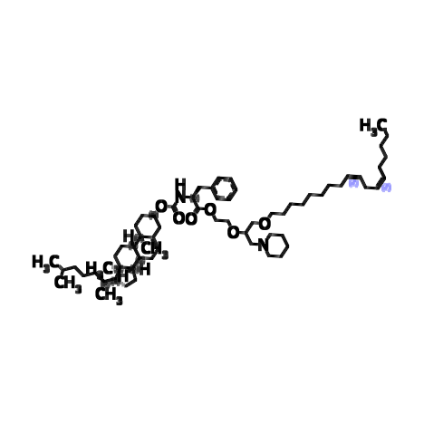 CCCCC/C=C\C/C=C\CCCCCCCCOCC(CN1CCCCC1)OCCOC(=O)[C@H](Cc1ccccc1)NC(=O)O[C@H]1CC[C@@]2(C)C(=CC[C@H]3[C@@H]4CC[C@H]([C@H](C)CCCC(C)C)[C@@]4(C)CC[C@@H]32)C1